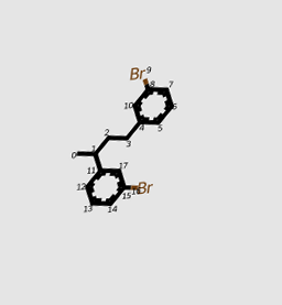 CC(CCc1cccc(Br)c1)c1cccc(Br)c1